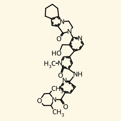 CC1COCC(C)N1C(=O)c1ccc(Nc2cc(-c3ccnc(N4CCn5c(cc6c5CCCC6)C4=O)c3CO)cn(C)c2=O)nc1